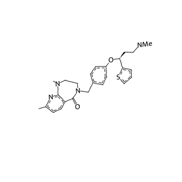 CNCC[C@H](Oc1ccc(CN2CCN(C)c3nc(C)ccc3C2=O)cc1)c1cccs1